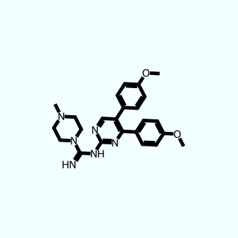 COc1ccc(-c2cnc(NC(=N)N3CCN(C)CC3)nc2-c2ccc(OC)cc2)cc1